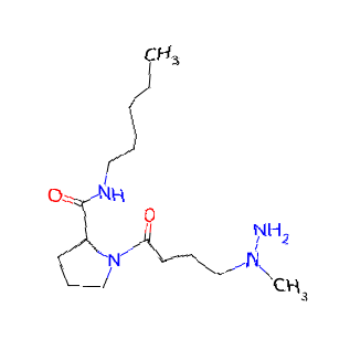 CCCCCNC(=O)C1CCCN1C(=O)CCCN(C)N